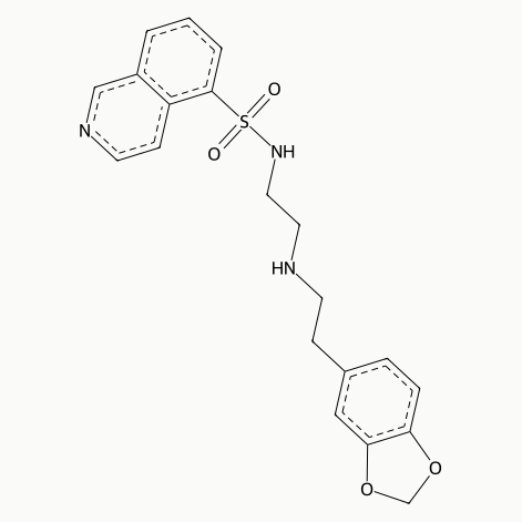 O=S(=O)(NCCNCCc1ccc2c(c1)OCO2)c1cccc2cnccc12